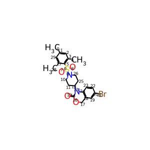 Cc1cc(C)c(S(=O)(=O)N2CCC(N3C(=O)OCc4cc(Br)ccc43)CC2)c(C)c1